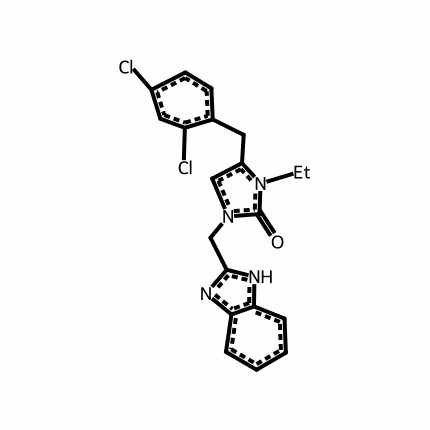 CCn1c(Cc2ccc(Cl)cc2Cl)cn(Cc2nc3ccccc3[nH]2)c1=O